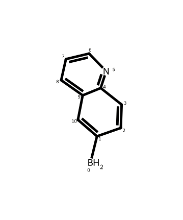 Bc1ccc2ncccc2c1